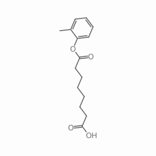 Cc1ccccc1OC(=O)CCCCCCC(=O)O